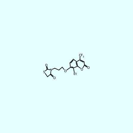 CCc1c(OCCCN2C(=O)CSC2=O)ccc2c(C(F)(F)F)cc(=O)oc12